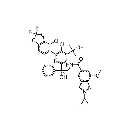 COc1cc(C(=O)NC[C@@](O)(c2ccccc2)c2cc(C(C)(C)O)c(Cl)c(-c3ccc4c(c3Cl)OC(F)(F)O4)n2)cc2cn(C3CC3)nc12